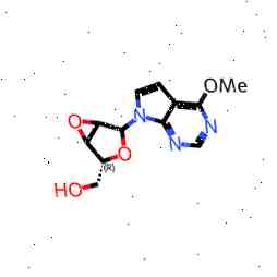 COc1ncnc2c1ccn2C1O[C@H](CO)C2OC21